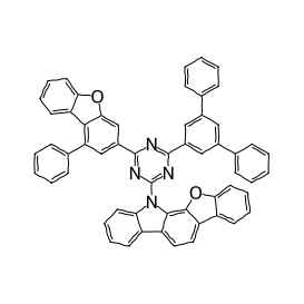 c1ccc(-c2cc(-c3ccccc3)cc(-c3nc(-c4cc(-c5ccccc5)c5c(c4)oc4ccccc45)nc(-n4c5ccccc5c5ccc6c7ccccc7oc6c54)n3)c2)cc1